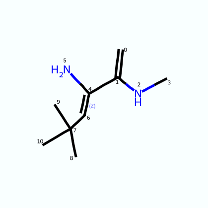 C=C(NC)/C(N)=C/C(C)(C)C